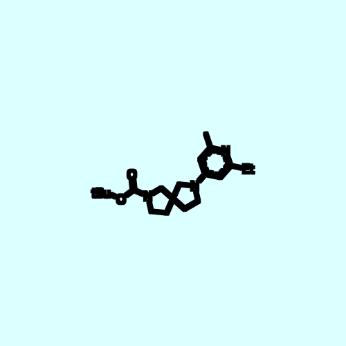 CCc1cc(N2CCC3(CCN(C(=O)OC(C)(C)C)C3)C2)cc(C)n1